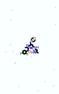 Cc1cc(Nc2cc(CN3CCOCC3)c3nc(C)c(C(=O)c4ccc(F)cc4F)n3n2)n[nH]1